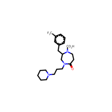 O=C1CCN(C(=O)O)C(Cc2cccc(C(F)(F)F)c2)CN1CCCN1CCCCC1